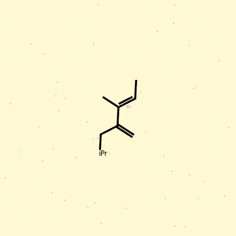 C=C(CC(C)C)/C(C)=C/C